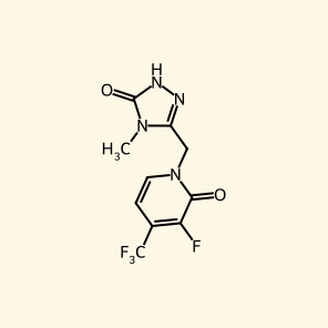 Cn1c(Cn2ccc(C(F)(F)F)c(F)c2=O)n[nH]c1=O